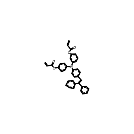 C=CC(=O)Oc1ccc(N(c2ccc(C=C(c3ccccc3)c3ccccc3)cc2)c2cccc(OC(=O)C=C)c2)cc1